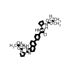 CC(C)(C)OC(=O)N[C@H]1CCC[C@@H]1c1nc(Cl)c(-c2ccc(-c3ccc4c(ccc5nc([C@@H]6CCCN6C(=O)OC(C)(C)C)[nH]c54)c3)cc2)[nH]1